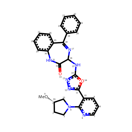 CO[C@H]1CCN(c2ncccc2-c2nnc(NC3N=C(c4ccccc4)c4ccccc4NC3=O)o2)C1